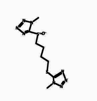 Cn1nnnc1SCCCC[S+]([O-])c1nnnn1C